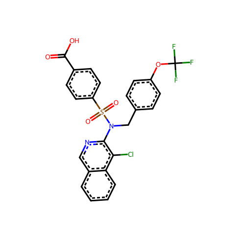 O=C(O)c1ccc(S(=O)(=O)N(Cc2ccc(OC(F)(F)F)cc2)c2ncc3ccccc3c2Cl)cc1